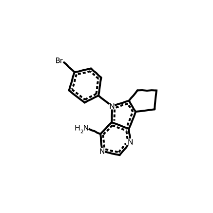 Nc1ncnc2c3c(n(-c4ccc(Br)cc4)c12)CCC3